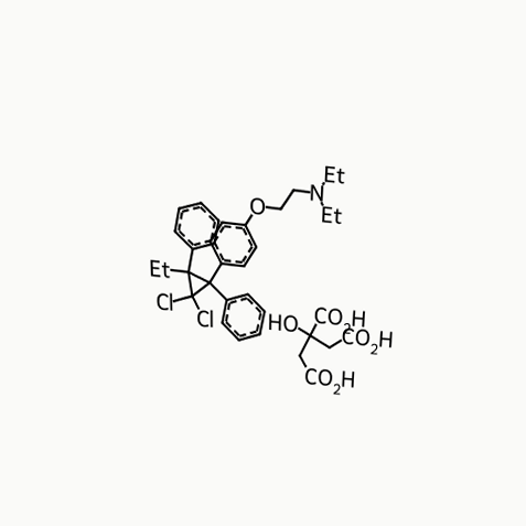 CCN(CC)CCOc1ccc(C2(c3ccccc3)C(Cl)(Cl)C2(CC)c2ccccc2)cc1.O=C(O)CC(O)(CC(=O)O)C(=O)O